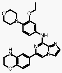 CCOc1cc(Nc2nc(-c3ccc4c(c3)NCCO4)cn3ccnc23)ccc1N1CCOCC1